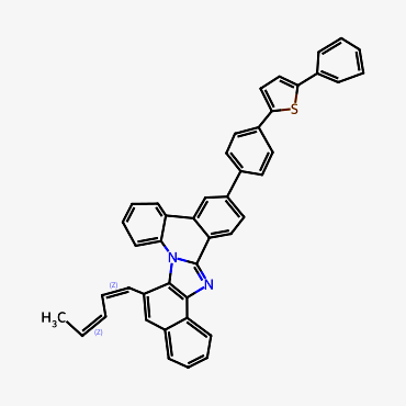 C/C=C\C=C/c1cc2ccccc2c2nc3c4ccc(-c5ccc(-c6ccc(-c7ccccc7)s6)cc5)cc4c4ccccc4n3c12